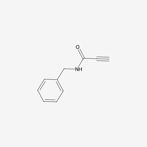 C#CC(=O)NCc1ccccc1